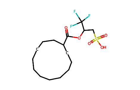 O=C(OC(CS(=O)(=O)O)C(F)(F)F)C1CCCCCCCCCCC1